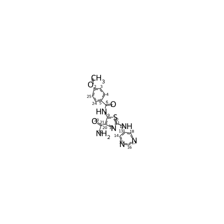 COc1ccc(C(=O)Nc2sc(Nc3cncnc3)nc2C(N)=O)cc1